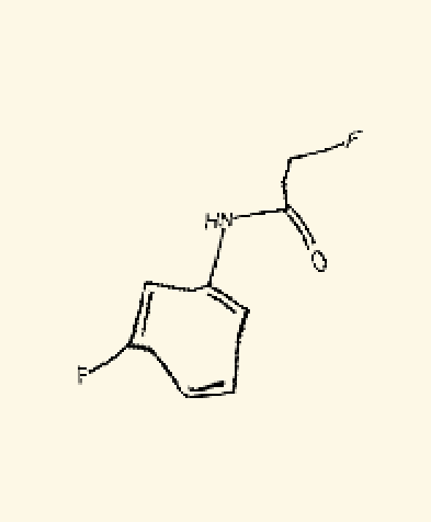 O=C(CF)Nc1cccc(F)c1